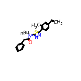 C=Cc1ccc(-c2nnc(N(CCCC)C(=O)Cc3ccccc3)s2)c(C)c1